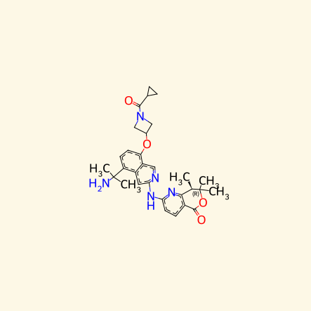 C[C@@H]1c2nc(Nc3cc4c(C(C)(C)N)ccc(OC5CN(C(=O)C6CC6)C5)c4cn3)ccc2C(=O)OC1(C)C